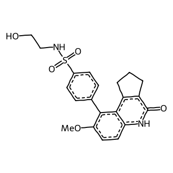 COc1ccc2[nH]c(=O)c3c(c2c1-c1ccc(S(=O)(=O)NCCO)cc1)CCC3